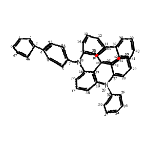 c1ccc(-c2ccc(N(c3ccccc3)c3cccc(N(c4ccccc4)c4ccccc4)c3-c3ccc4ccccc4c3)cc2)cc1